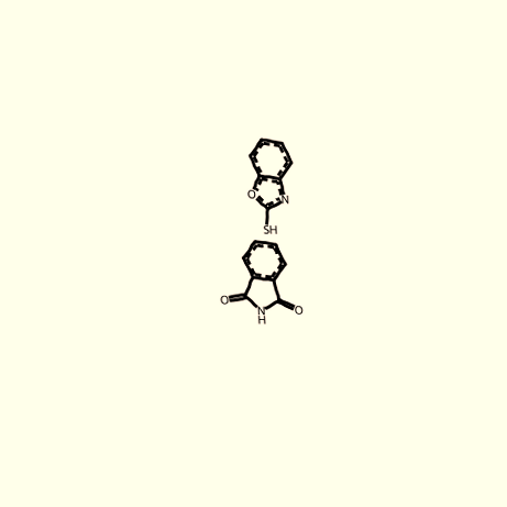 O=C1NC(=O)c2ccccc21.Sc1nc2ccccc2o1